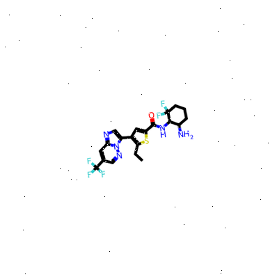 CCc1sc(C(=O)NC2C(N)CCCC2(F)F)cc1-c1cnc2cc(C(F)(F)F)cnn12